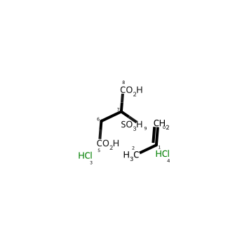 C=CC.Cl.Cl.O=C(O)CC(C(=O)O)S(=O)(=O)O